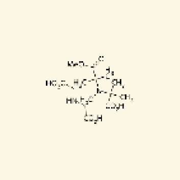 COC(=O)C(C)(C)N(C)C(C)(C)C(=O)O.O=C(O)CNCC(=O)O